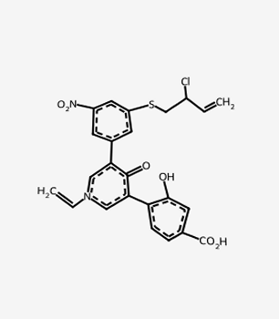 C=CC(Cl)CSc1cc(-c2cn(C=C)cc(-c3ccc(C(=O)O)cc3O)c2=O)cc([N+](=O)[O-])c1